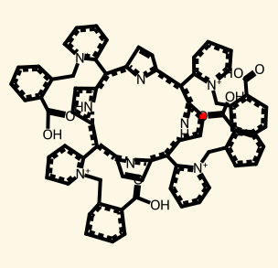 O=C(O)c1ccccc1C[n+]1ccccc1-c1c2nc(c(-c3cccc[n+]3Cc3ccccc3C(=O)O)c3ccc([nH]3)c(-c3cccc[n+]3Cc3ccccc3C(=O)O)c3nc(c(-c4cccc[n+]4Cc4ccccc4C(=O)O)c4ccc1[nH]4)C=C3)C=C2